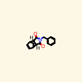 O=C1[C@@H]2C3C=CC(C3)[C@@H]2C(=O)N1Cc1ccccc1